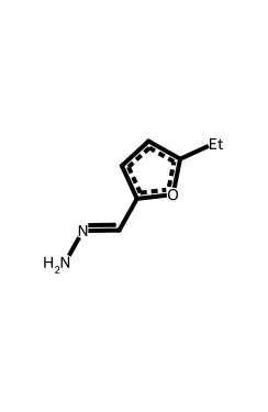 CCc1ccc(C=NN)o1